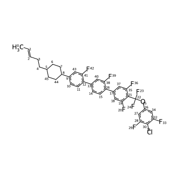 C/C=C/CCC1CCC(c2ccc(-c3ccc(-c4cc(F)c(C(F)(F)Oc5cc(F)c(Cl)c(F)c5)c(F)c4)c(F)c3)c(F)c2)CC1